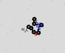 CC1CC=Cc2ccc(-c3ccc4oc5cccc(C/N=C(\N=C(/N)c6cccc7c6sc6ccccc67)c6ccccc6)c5c4c3)cc21